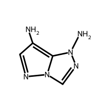 Nc1cnn2cnn(N)c12